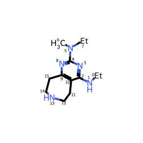 CCNc1nc(N(C)CC)nc2c1CCNCC2